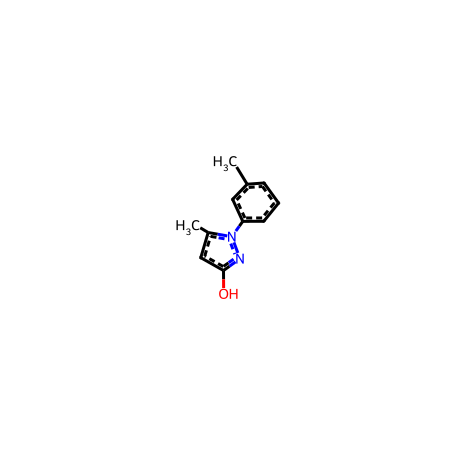 Cc1cccc(-n2nc(O)cc2C)c1